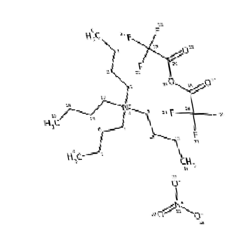 CCCC[N+](CCCC)(CCCC)CCCC.O=C(OC(=O)C(F)(F)F)C(F)(F)F.O=[N+]([O-])[O-]